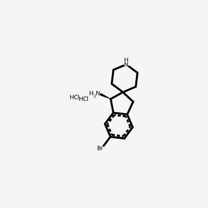 Cl.Cl.N[C@@H]1c2cc(Br)ccc2CC12CCNCC2